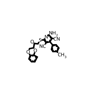 Cc1ccc(-c2c(C#N)c(N)nc(SCC(=O)C3COc4ccccc4O3)c2C#N)cc1